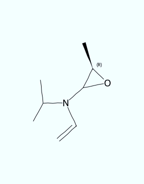 C=CN(C(C)C)C1O[C@@H]1C